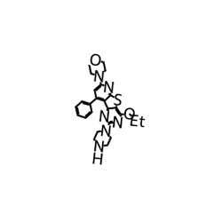 CCOc1nc(N2CCNCC2)nc2c1sc1nc(N3CCOCC3)cc(-c3ccccc3)c12